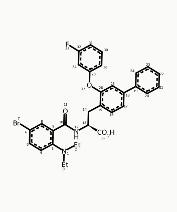 CCN(CC)c1ccc(Br)cc1C(=O)N[C@@H](Cc1ccc(-c2ccccc2)cc1Oc1cccc(F)c1)C(=O)O